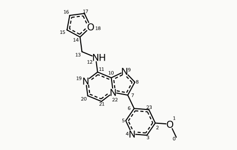 COc1cncc(-c2cnc3c(NCc4ccco4)nccn23)c1